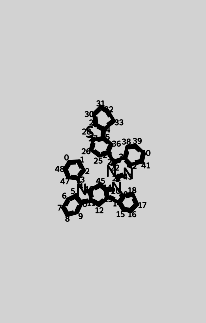 c1ccc(-n2c3ccccc3c3cc4c5ccccc5n(-c5nc(-c6ccc7sc8ccccc8c7c6)c6ccccc6n5)c4cc32)cc1